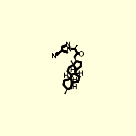 C[C@H]1CC[C@H]2[C@H](CC[C@@H]3[C@@H]2CC[C@]2(C)[C@@H](CC(=O)[C@H](C)n4cc(C#N)cn4)CC[C@@H]32)C1